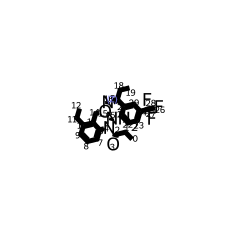 CCC(=O)N(N)c1cccc(CC)c1CO/N=C(/CC)c1cccc(C(F)(F)F)c1